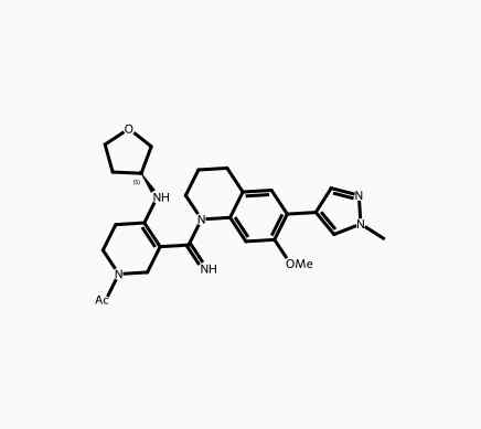 COc1cc2c(cc1-c1cnn(C)c1)CCCN2C(=N)C1=C(N[C@H]2CCOC2)CCN(C(C)=O)C1